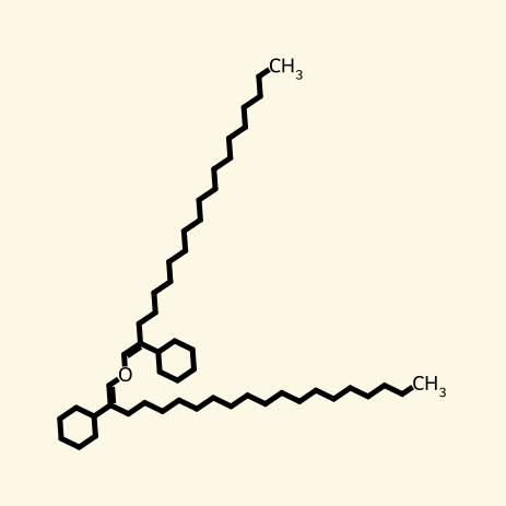 CCCCCCCCCCCCCCCCCCC(=COC=C(CCCCCCCCCCCCCCCCCC)C1CCCCC1)C1CCCCC1